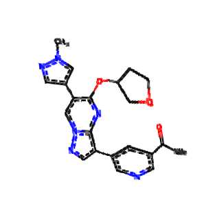 CNC(=O)c1cncc(-c2cnn3cc(-c4cnn(C)c4)c(OC4CCOC4)nc23)c1